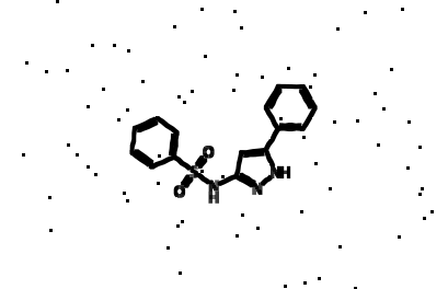 O=S(=O)(Nc1cc(-c2ccccc2)[nH]n1)c1ccccc1